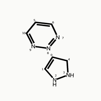 C1=CNNC1.c1cnnnc1